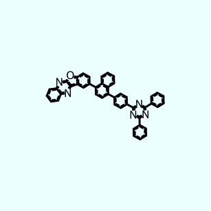 c1ccc(-c2nc(-c3ccccc3)nc(-c3ccc(-c4ccc(-c5ccc6oc7nc8ccccc8nc7c6c5)c5ccccc45)cc3)n2)cc1